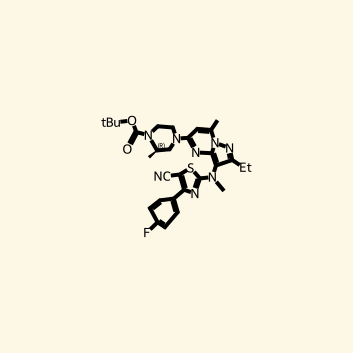 CCc1nn2c(C)cc(N3CCN(C(=O)OC(C)(C)C)[C@H](C)C3)nc2c1N(C)c1nc(-c2ccc(F)cc2)c(C#N)s1